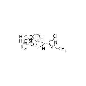 CCc1nc(Cl)cc([C@H]2[C@@H]3CC(O[Si](c4ccccc4)(c4ccccc4)C(C)(C)C)C[C@@H]32)n1